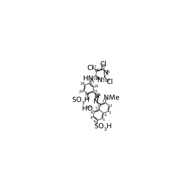 CNc1ccc2cc(S(=O)(=O)O)cc(O)c2c1N=Nc1cc(Nc2nc(Cl)nc(Cl)c2Cl)ccc1S(=O)(=O)O